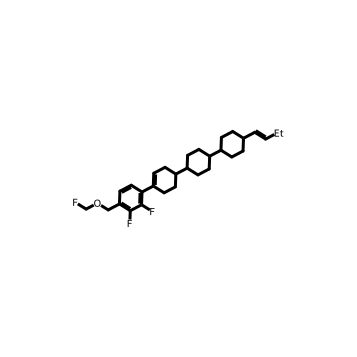 CC/C=C/C1CCC(C2CCC(C3CC=C(c4ccc(COCF)c(F)c4F)CC3)CC2)CC1